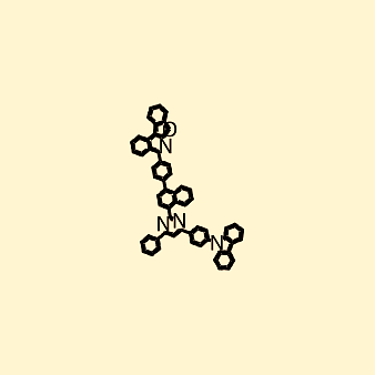 c1ccc(-c2cc(-c3ccc(-n4c5ccccc5c5ccccc54)cc3)nc(-c3ccc(-c4ccc(-c5nc6oc7ccccc7c6c6ccccc56)cc4)c4ccccc34)n2)cc1